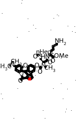 CCCCCCCC(=O)SC[C@@H](C(=O)N[C@@H](CCCCN)C(=O)OC)N(C)C(=O)Oc1ccc2c(c1)Oc1cc(N(C)C)ccc1C21OC(=O)c2ccccc21